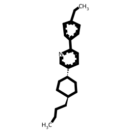 CCCC[C@H]1CC[C@H](c2ccc(-c3ccc(CC)cc3)nc2)CC1